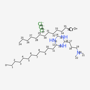 CCCCCCCCCCCCC1NCNC(CCCN(C)C)N1.CCCCCCCCCCC[CH2][Cr+3].[Cl-].[Cl-].[Cl-]